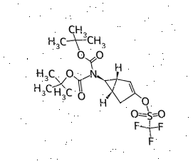 CC(C)(C)OC(=O)N(C(=O)OC(C)(C)C)[C@H]1[C@@H]2C=C(OS(=O)(=O)C(F)(F)F)C[C@@H]21